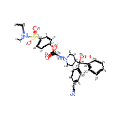 CCN(CC)S(=O)(=O)c1ccc(OC(=O)N2CCC(C(O)(c3ccccc3)c3ccc(C#N)cc3)CC2)cc1